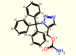 NC(=O)OCc1cnnn1C(c1ccccc1)(c1ccccc1)c1ccccc1